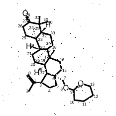 C=C(C)[C@@H]1CC[C@]2(COC3CCCCO3)CC[C@]3(C)[C@H](CC[C@@H]4[C@@]5(C)CCC(=O)C(C)(C)[C@@H]5CC[C@]43C)C12